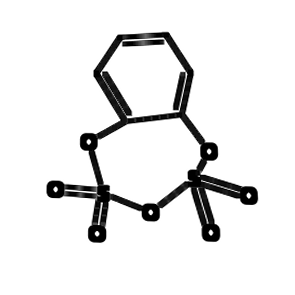 O=S1(=O)Oc2ccccc2OS(=O)(=O)O1